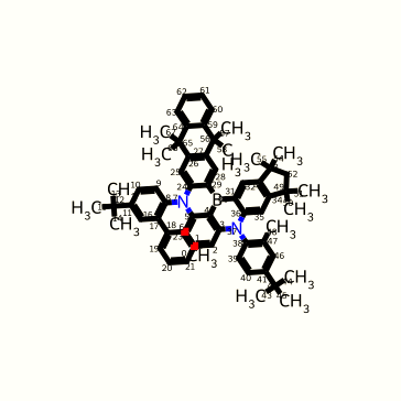 Cc1cc2c3c(c1)N(c1ccc(C(C)(C)C)cc1-c1ccccc1)c1cc4c(cc1B3c1cc3c(cc1N2c1ccc(C(C)(C)C)cc1C)C(C)(C)CC3(C)C)C(C)(C)c1ccccc1C4(C)C